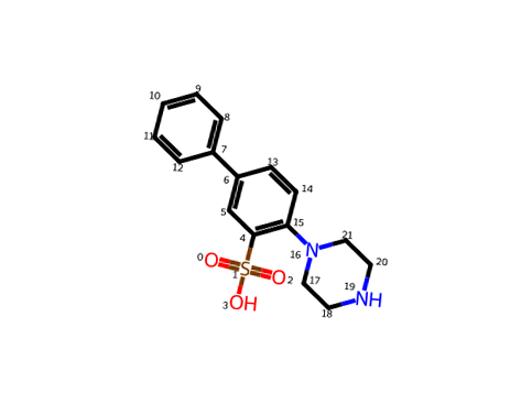 O=S(=O)(O)c1cc(-c2ccccc2)ccc1N1CCNCC1